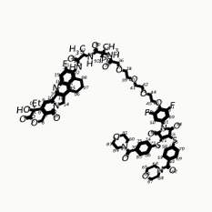 CC[C@@]1(O)C(=O)OCc2c1cc1n(c2=O)Cc2c-1nc1cc(F)c(NC(=O)[C@H](C)NC(=O)C(C)(NC(=O)COCCOCCOCCOc3c(F)cc(N4C(=O)C(Sc5ccc(C(=O)N6CCOCC6)cc5)=C(Sc5ccc(C(=O)N6CCOCC6)cc5)C4=O)cc3F)C(C)C)c3c1c2CCC3